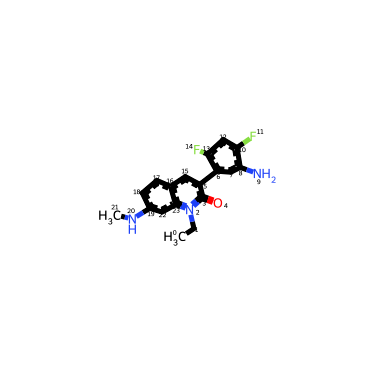 CCn1c(=O)c(-c2cc(N)c(F)cc2F)cc2ccc(NC)cc21